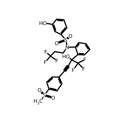 CS(=O)(=O)c1ccc(C#CC(O)(c2ccccc2N(CCC(F)(F)F)S(=O)(=O)c2cccc(O)c2)C(F)(F)F)cc1